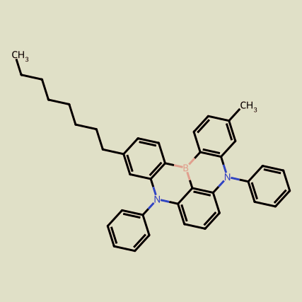 CCCCCCCCc1ccc2c(c1)N(c1ccccc1)c1cccc3c1B2c1ccc(C)cc1N3c1ccccc1